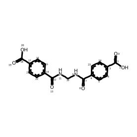 O=C(O)c1ccc(C(=O)NCNC(=O)c2ccc(C(=O)O)cc2)cc1